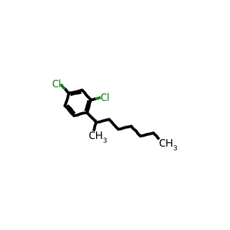 CCCCCC[C](C)c1ccc(Cl)cc1Cl